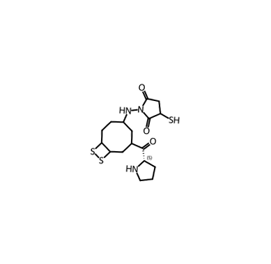 O=C(C1CC(NN2C(=O)CC(S)C2=O)CCC2SSC2C1)[C@@H]1CCCN1